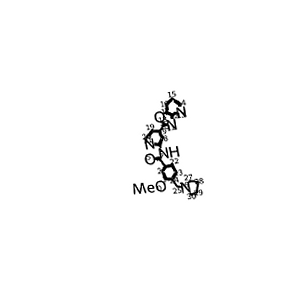 COc1cc(C(=O)Nc2cc(-c3nc4ncccc4o3)ccn2)ccc1CN1CCCC1